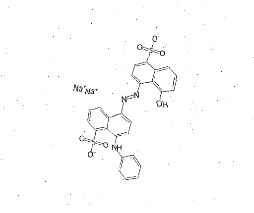 O=S(=O)([O-])c1ccc(N=Nc2ccc(Nc3ccccc3)c3c(S(=O)(=O)[O-])cccc23)c2c(O)cccc12.[Na+].[Na+]